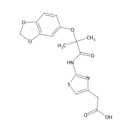 CC(C)(Oc1ccc2c(c1)OCO2)C(=O)Nc1nc(CC(=O)O)cs1